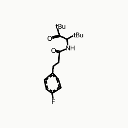 CC(C)(C)C(=O)C(NC(=O)CCc1ccc(F)cc1)C(C)(C)C